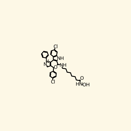 O=C(CCCCCCCNC(=O)c1[nH]c2cc(Cl)ccc2c1-c1c(Cc2ccc(Cl)cc2)cnn1-c1ccccc1)NO